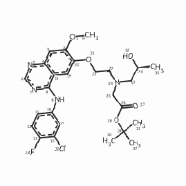 COc1cc2ncnc(Nc3ccc(F)c(Cl)c3)c2cc1OCCN(CC(=O)OC(C)(C)C)C[C@H](C)O